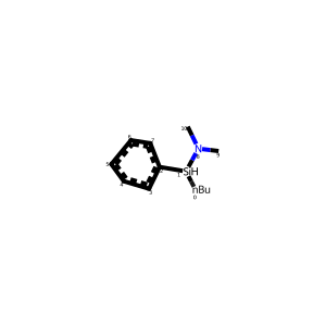 CCCC[SiH](c1ccccc1)N(C)C